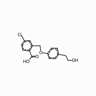 O=C(O)c1ccc(Cl)cc1COc1ccc(CCO)cc1